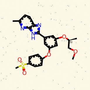 COC[C@H](C)Oc1cc(Oc2ccc(S(C)(=O)=O)cc2)cc(-c2nc3ccc(C)nc3[nH]2)c1